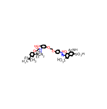 CCC(C)(C)c1ccc(OCC(=O)Nc2cc(OCCOc3ccc(/N=N/c4c(S(=O)(=O)O)cc5cc(S(=O)(=O)O)cc(NC(C)=O)c5c4O)cc3)ccc2O)c(C(C)(C)CC)c1